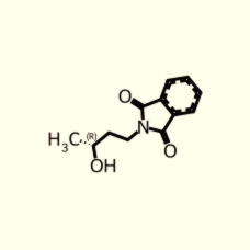 C[C@@H](O)CCN1C(=O)c2ccccc2C1=O